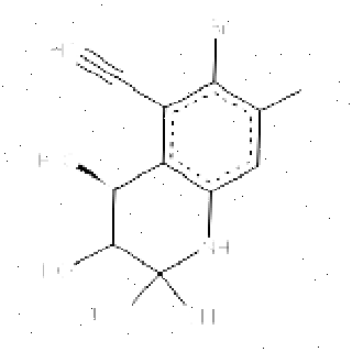 C#Cc1c(Br)c(F)cc2c1[C@H](C)C(O)C(C)(C)N2